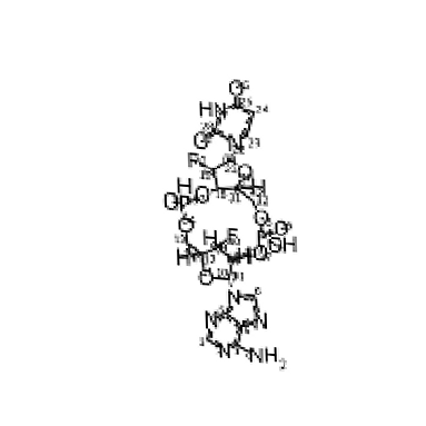 Nc1ncnc2c1ncn2[C@@H]1O[C@@H]2CO[PH](=O)OC3[C@@H](F)[C@H](n4ccc(=O)[nH]c4=O)O[C@@H]3COP(=O)(O)O[C@@H]1[C@@H]2F